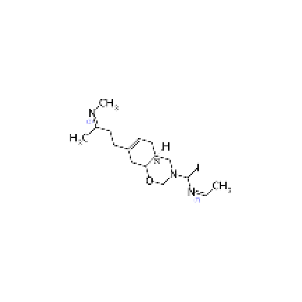 C/C=N\C(I)N1COC2CC(CC/C(C)=N\C)=CC[C@H]2C1